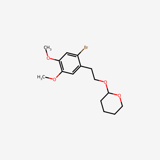 COc1cc(Br)c(CCOC2CCCCO2)cc1OC